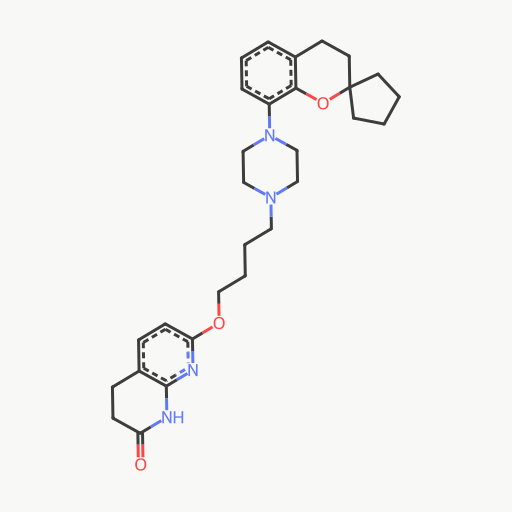 O=C1CCc2ccc(OCCCCN3CCN(c4cccc5c4OC4(CCCC4)CC5)CC3)nc2N1